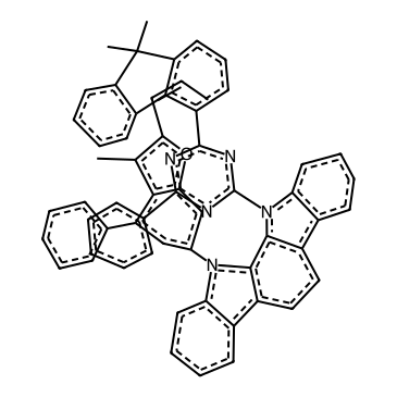 C/C=C\c1oc2cc(-n3c4ccccc4c4ccc5c6ccccc6n(-c6nc(-c7ccccc7)nc(-c7cccc8c7-c7ccccc7C8(C)C)n6)c5c43)cc(-c3ccccc3)c2c1C